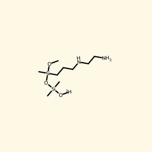 [2H]O[Si](C)(C)O[Si](C)(CCCNCCN)OC